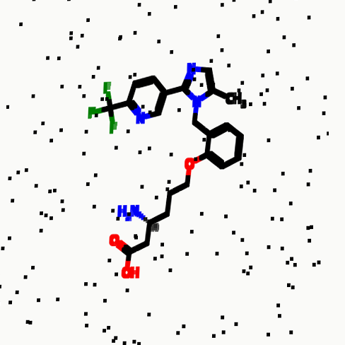 Cc1cnc(-c2ccc(C(F)(F)F)nc2)n1Cc1ccccc1OCCC[C@@H](N)CC(=O)O